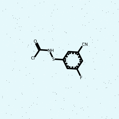 N#Cc1cc(F)cc(SNC(=O)Cl)c1